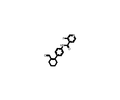 O=CC1=C(c2ccc(NC(=O)c3ccncc3F)cc2)CCCC1